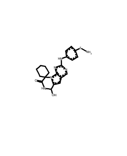 NSc1ccc(Nc2ncc3cc4n(c3n2)C2(CCCCC2)C(=O)NC4O)cc1